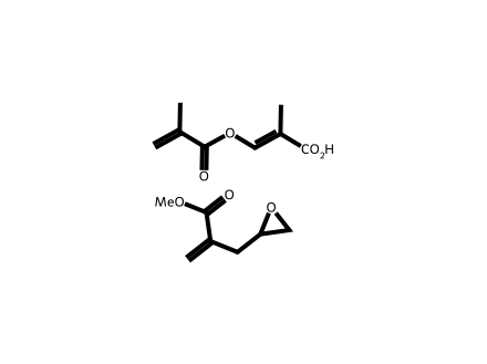 C=C(C)C(=O)OC=C(C)C(=O)O.C=C(CC1CO1)C(=O)OC